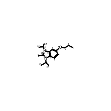 CCCOc1ccc2c(c1)N(C(C)C)C(C)N2C(C)C